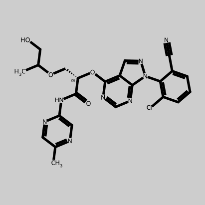 Cc1cnc(NC(=O)[C@H](COC(C)CO)Oc2ncnc3c2cnn3-c2c(Cl)cccc2C#N)cn1